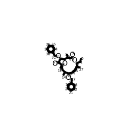 CCC1OC(=O)C(C)C2OC(C)(CC(C)C(OCc3ccccc3)C=C=C1C)C(=O)C2OCc1ccccc1